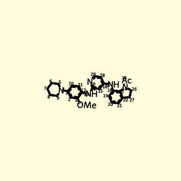 COc1cc(N2CCCCC2)ccc1Nc1cc(Nc2cccc3c2N(C(C)=O)CC3)ccn1